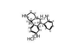 Cl.Cl.Nc1ccccc1[C@@H]1CN2CCNC[C@H]2c2ccccc21